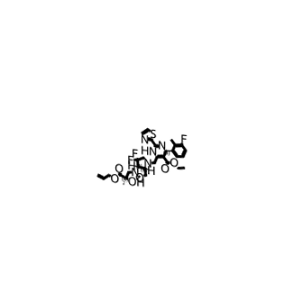 C=CCOC(=O)[C@](C)(O)CN1OC[C@H]2[C@@H]1C(F)(F)CN2CC1=C(C(=O)OCC)[C@H](c2cccc(F)c2C)N=C(c2nccs2)N1